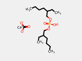 CCCCC(CC)COP(=O)(O)OCC(CC)CCCC.O=C([O-])[O-].[Ca+2]